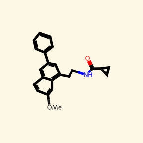 COc1ccc2cc(-c3ccccc3)cc(CCNC(=O)C3CC3)c2c1